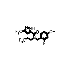 O=C(c1cc(C(F)(F)F)n[nH]1)N(CCC(F)(F)F)Cc1ccc(O)cc1F